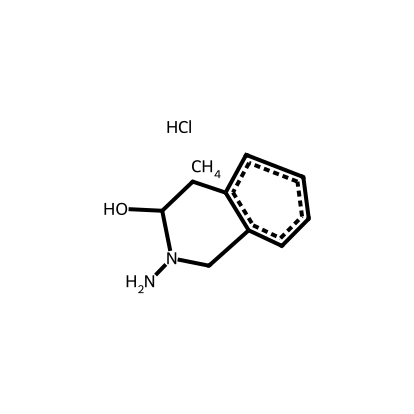 C.Cl.NN1Cc2ccccc2CC1O